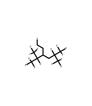 FC(F)(F)C(F)(CC(CCI)C(F)(C(F)(F)F)C(F)(F)F)C(F)(F)F